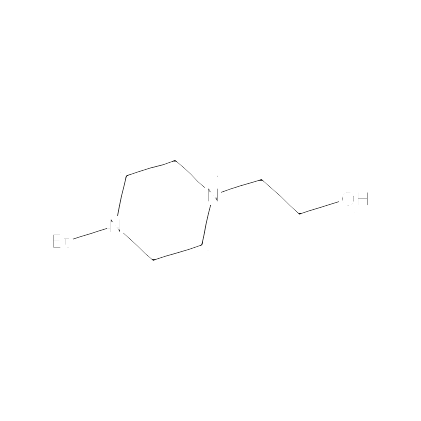 [CH2]CN1CCN(CCO)CC1